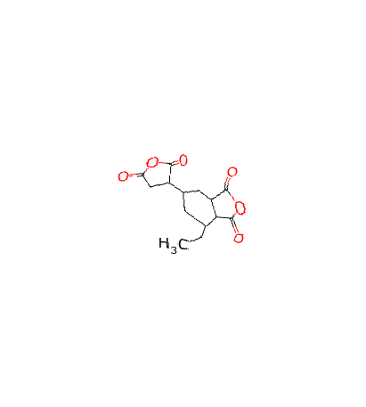 CCC1CC(C2CC(=O)OC2=O)CC2C(=O)OC(=O)C12